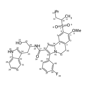 COc1cc2c(cc1S(=O)(=O)C(C)CC(C)C)-c1cc(C(=O)NC(CO)Cc3c[nH]c4ccccc34)c(-c3cccc(F)c3)n1CC2